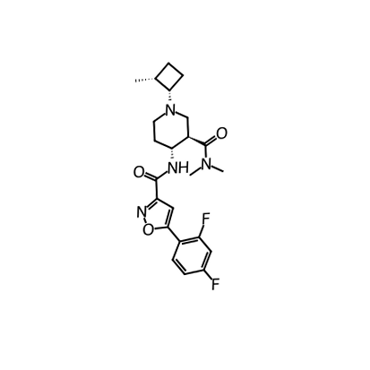 C[C@@H]1CC[C@@H]1N1CC[C@@H](NC(=O)c2cc(-c3ccc(F)cc3F)on2)[C@H](C(=O)N(C)C)C1